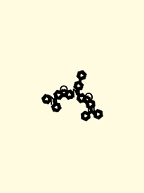 c1ccc(-c2ccc(N(c3ccc4c(c3)oc3ccc(N(c5ccccc5)c5ccccc5)cc34)c3ccc4c(c3)oc3ccc(N(c5ccccc5)c5ccccc5)cc34)cc2)cc1